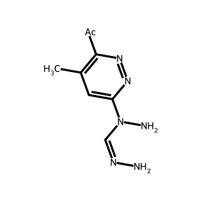 CC(=O)c1nnc(N(N)/C=N\N)cc1C